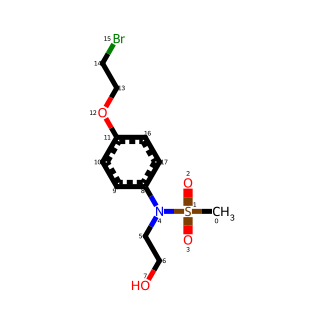 CS(=O)(=O)N(CCO)c1ccc(OCCBr)cc1